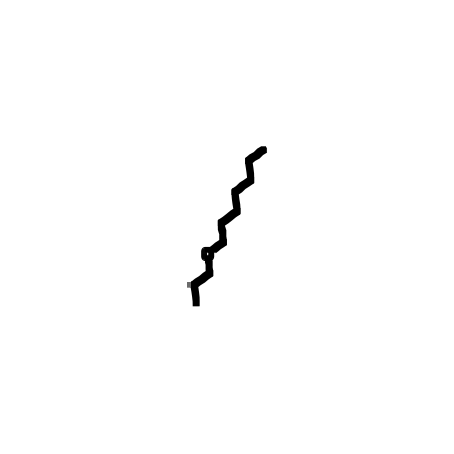 C[CH]COCCCCCCC